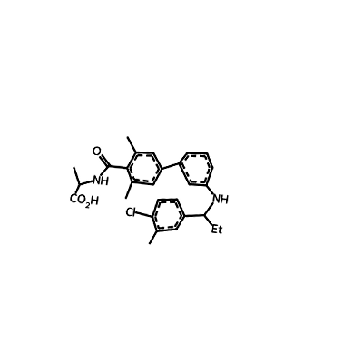 CCC(Nc1cccc(-c2cc(C)c(C(=O)NC(C)C(=O)O)c(C)c2)c1)c1ccc(Cl)c(C)c1